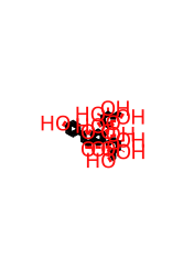 O=c1cc(-c2ccc(O)cc2)oc2cc(O[C@@H]3OC(CO)[C@H](O)[C@H](O)C3O)c([C@@H]3OC(CO)[C@@H](O)[C@H](O)C3O)c(O)c12